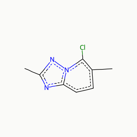 Cc1nc2ccc(C)c(Cl)n2n1